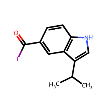 CC(C)c1c[nH]c2ccc(C(=O)I)cc12